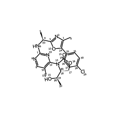 Cc1nc([C@H](C)Nc2ncc(F)c(N3C(=O)OC[C@@H]3[C@@H](C)O)n2)oc1-c1ccc(Cl)cc1